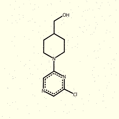 OCC1CCN(c2cncc(Cl)n2)CC1